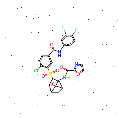 O=C(Nc1ccc(F)c(F)c1)c1ccc(Cl)c(S(=O)(=O)C2CC3CC(C2)C3(O)CNC(=O)c2ncco2)c1